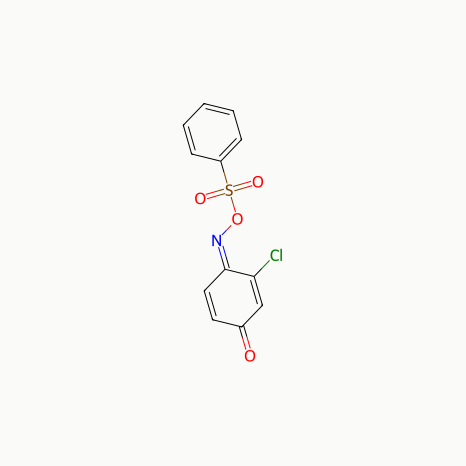 O=C1C=CC(=NOS(=O)(=O)c2ccccc2)C(Cl)=C1